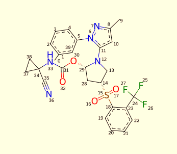 Cc1cccc(-n2nc(C)cc2N2C[C@H](S(=O)(=O)c3ccccc3C(F)(F)F)C[C@@H]2OC(=O)NC2(C#N)CC2)c1